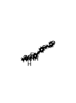 CC(C)(C)c1cc(NC(=O)Nc2ccc(C#Cc3ccc(OCCCN4CCOCC4)cc3)cc2F)no1